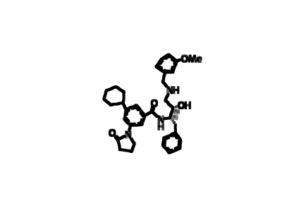 COc1cccc(CNC[C@H](O)[C@H](Cc2ccccc2)NC(=O)c2cc(C3CCCCC3)cc(N3CCCC3=O)c2)c1